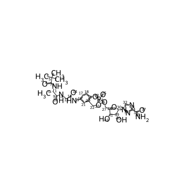 C[C@H](NC(=O)C(C)(C)C)C(=O)NCC(=O)Nc1ccc2c(c1)COP(=O)(OCC1O[C@@H](n3cnc(C(N)=O)n3)[C@H](O)[C@@H]1O)O2